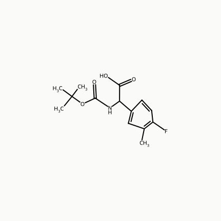 Cc1cc(C(NC(=O)OC(C)(C)C)C(=O)O)ccc1F